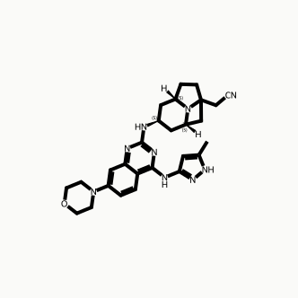 Cc1cc(Nc2nc(N[C@H]3C[C@@H]4CCC5(CC#N)C[C@H](C3)N45)nc3cc(N4CCOCC4)ccc23)n[nH]1